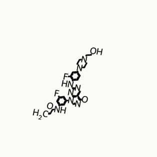 C=CC(=O)Nc1cc(F)cc(-n2cnc(=O)c3cnc(Nc4ccc(N5CCN(CCO)CC5)cc4F)nc32)c1